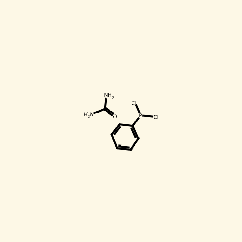 ClP(Cl)c1ccccc1.NC(N)=O